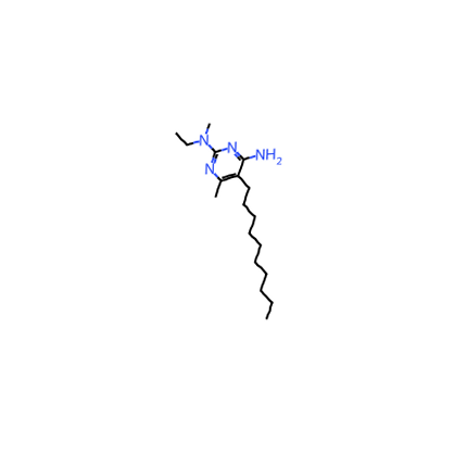 CCCCCCCCCCc1c(C)nc(N(C)CC)nc1N